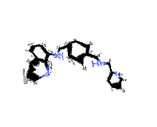 c1ccc(CNCc2ccc(CNc3cccc4cccnc34)cc2)nc1